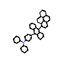 C1=Cc2ccc3ccc(-c4c5ccccc5c(-c5ccc(N(c6ccccc6)c6ccccc6)cc5)c5ccccc45)c4c3c2C(=CC4)C1